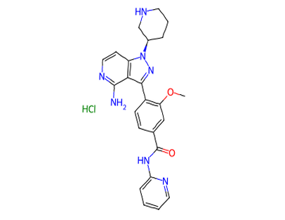 COc1cc(C(=O)Nc2ccccn2)ccc1-c1nn([C@@H]2CCCNC2)c2ccnc(N)c12.Cl